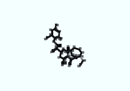 O=C(NCc1c(F)cc(F)cc1F)C1=CN2C(=C(O)C1)C(=O)N1C[C@@H]2CCC[C@@H]1CF